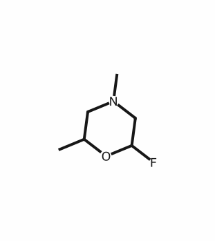 CC1CN(C)CC(F)O1